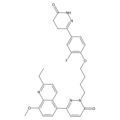 CCc1ccc2c(-c3ccc(=O)n(CCCCOc4ccc(C5=NNC(=O)CC5)cc4F)n3)ccc(OC)c2n1